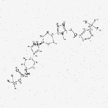 Cn1c(COc2cccc(C(F)(F)F)c2)nnc1[C@H]1CC[C@H](n2cc([C@H]3CC[C@H](NC(=O)OC(C)(C)C)CC3)cn2)CC1